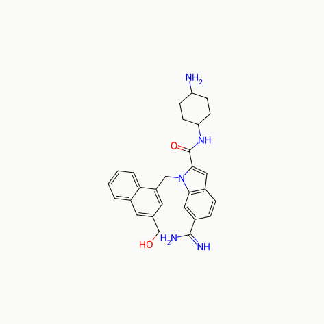 N=C(N)c1ccc2cc(C(=O)NC3CCC(N)CC3)n(Cc3cc(CO)cc4ccccc34)c2c1